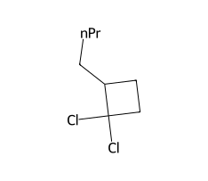 CCCCC1CCC1(Cl)Cl